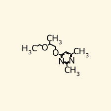 CCOC(C)COc1cc(C)nc(C)n1